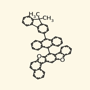 CC1(C)c2ccccc2-c2cc(-c3c4ccccc4c(-c4c5oc6ccc7ccccc7c6c5cc5oc6ccccc6c45)c4ccccc34)ccc21